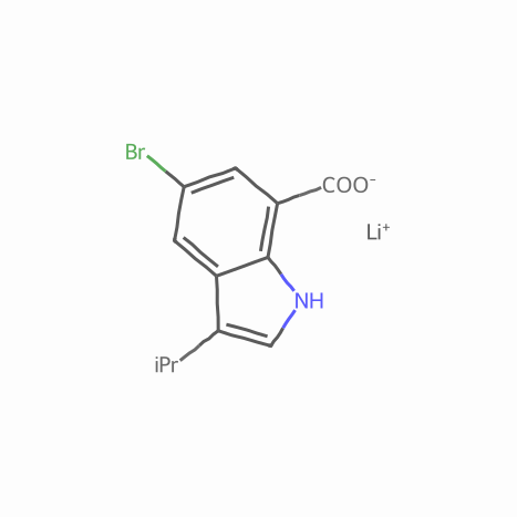 CC(C)c1c[nH]c2c(C(=O)[O-])cc(Br)cc12.[Li+]